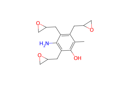 Cc1c(O)c(CC2CO2)c(N)c(CC2CO2)c1CC1CO1